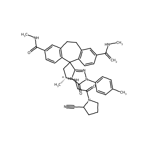 C=C(NC)c1ccc2c(c1)CCc1cc(C(=O)NC)ccc1C2(C[C@@H](C)NCC(=O)N1CCCC1C#N)c1nn(-c2ccc(C)cc2)c(=O)[nH]1